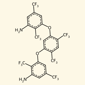 Nc1cc(C(F)(F)F)cc(Oc2cc(Oc3cc(C(F)(F)F)cc(N)c3C(F)(F)F)c(C(F)(F)F)cc2C(F)(F)F)c1C(F)(F)F